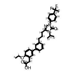 CCOc1ccc(-c2cccc(CCCc3nn(-c4ccc(C(F)(F)F)cc4)c(=O)n3C(C)C)c2)cc1CC(=O)O